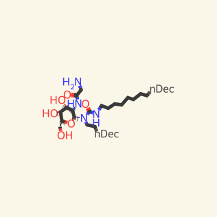 CCCCCCCCCCCCCCCCCCNC(=O)N(CCCCCCCCCCCC)[C@@H]1O[C@H](CO)[C@@H](O)[C@H](O)[C@H]1NC(=O)CN